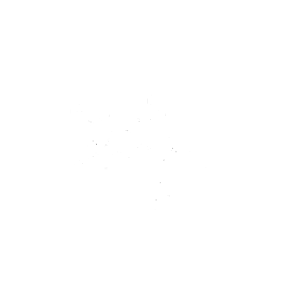 CCCCCN(CCCCC)C(=O)c1cc(C=C2SC(=S)N(CC(=O)O)C2=O)ccc1OC